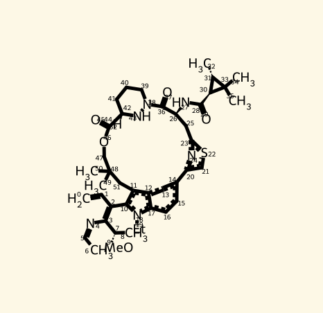 C=C/C(=C(\N=C/C)[C@H](C)OC)c1c2c3cc(ccc3n1CC)-c1csc(n1)C[C@H](NC(=O)[C@H]1[C@H](C)C1(C)C)C(=O)N1CCC[C@H](N1)C(=O)OCC(C)(C)C2